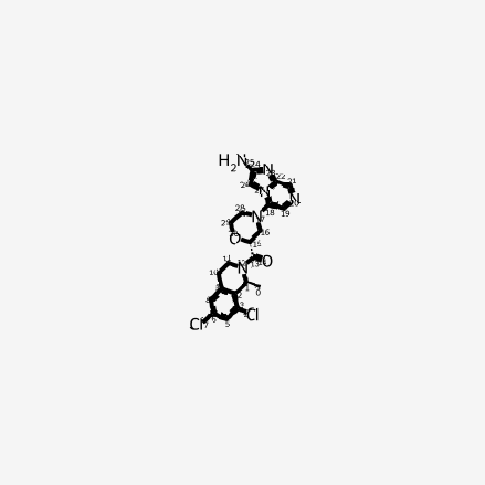 C[C@H]1c2c(Cl)cc(Cl)cc2CCN1C(=O)[C@H]1CN(c2cncc3nc(N)cn23)CCO1